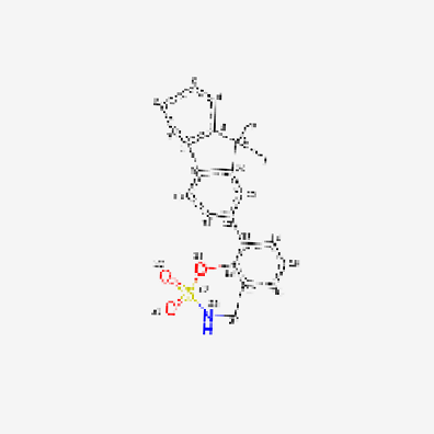 CC1(C)c2ccccc2-c2ccc(-c3cccc4c3OS(=O)(=O)NC4)cc21